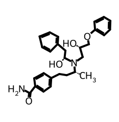 C[C@H](CCc1ccc(C(N)=O)cc1)N(C[C@H](O)COc1ccccc1)[C@H](O)Cc1ccccc1